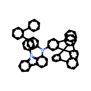 c1ccc(-c2ccccc2-c2ccc(N(c3ccc4c(c3)C3(c5ccccc5-4)c4ccccc4-c4cccc5ccc(-c6ccccc6)c3c45)c3cccc4c5ccccc5n(-c5ccccc5)c34)cc2)cc1